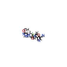 COc1cc(N2CCC(F)(C(=O)N3C[C@@H]4C[C@H]3c3cncc(C#N)c3O4)CC2)ncn1